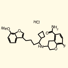 COc1cccc2c(CCCC(NC3COc4c(F)ccc(C(N)=O)c4C3)C3CCC3)coc12.Cl